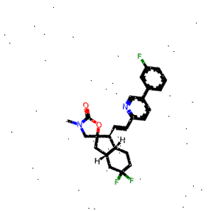 CN1CC2(C[C@H]3CC(F)(F)CC[C@H]3[C@@H]2/C=C/c2ccc(-c3cccc(F)c3)cn2)OC1=O